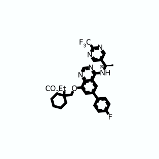 CCOC(=O)C1(COc2cc(-c3ccc(F)cc3)cc3c(N[C@H](C)c4cnc(C(F)(F)F)nc4)ncnc23)CCCCC1